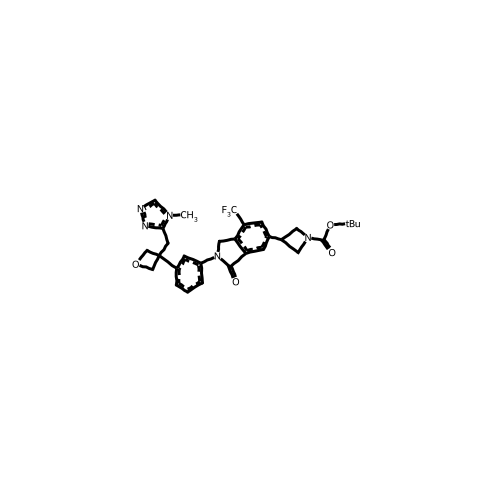 Cn1cnnc1CC1(c2cccc(N3Cc4c(cc(C5CN(C(=O)OC(C)(C)C)C5)cc4C(F)(F)F)C3=O)c2)COC1